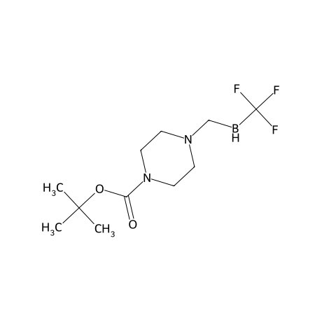 CC(C)(C)OC(=O)N1CCN(CBC(F)(F)F)CC1